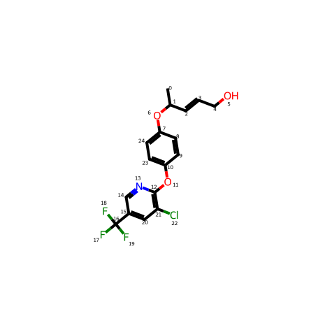 CC(C=CCO)Oc1ccc(Oc2ncc(C(F)(F)F)cc2Cl)cc1